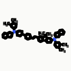 Cc1ccc(N(c2ccc(-c3ccc(/C=C/c4ccc5c(c4)C(C)(C)c4cc(N(c6ccc(C)c(C)c6)c6ccc7ccccc7c6)ccc4-5)cc3)cc2)c2ccc3ccccc3c2)cc1C